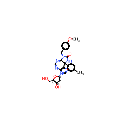 COc1ccc(CN2C(=O)NC3(c4ccc(C)cc4)C2=NC=Nc2c3ncn2[C@H]2C[C@@H](O)[C@@H](CO)O2)cc1